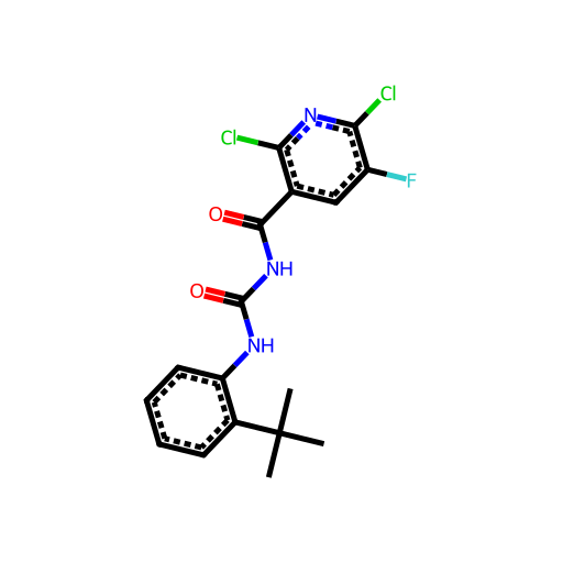 CC(C)(C)c1ccccc1NC(=O)NC(=O)c1cc(F)c(Cl)nc1Cl